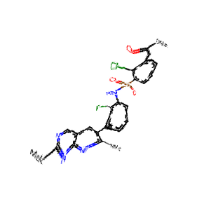 CNc1ncc2cc(-c3cccc(NS(=O)(=O)c4cccc(C(=O)OC)c4Cl)c3F)c(NC)nc2n1